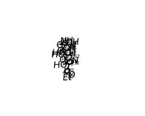 CCOc1cccc(-c2cc(N(C)C)c3c(c2O)C(=O)C2=C(O)[C@]4(O)C(=O)C(C(N)=O)=C(O)[C@@H](N(C)C)[C@@H]4C[C@@H]2C3)c1